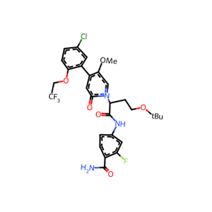 COc1cn(C(CCOC(C)(C)C)C(=O)Nc2ccc(C(N)=O)c(F)c2)c(=O)cc1-c1cc(Cl)ccc1OCC(F)(F)F